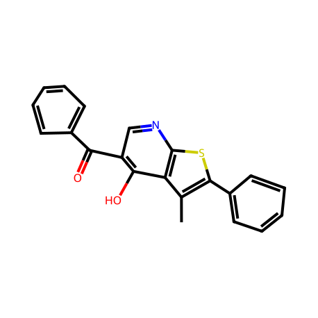 Cc1c(-c2ccccc2)sc2ncc(C(=O)c3ccccc3)c(O)c12